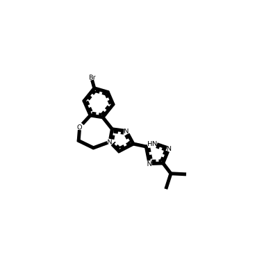 CC(C)c1n[nH]c(-c2cn3c(n2)-c2ccc(Br)cc2OCC3)n1